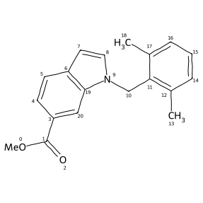 COC(=O)c1ccc2ccn(Cc3c(C)cccc3C)c2c1